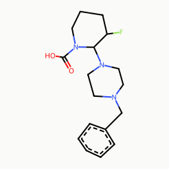 O=C(O)N1CCCC(F)C1N1CCN(Cc2ccccc2)CC1